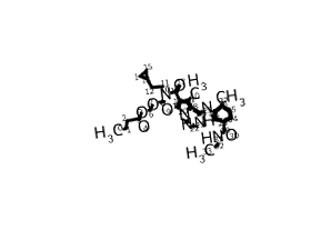 CCCC(=O)OCOC(=O)N(CCC1CC1)C(=O)c1cn2ncnc(Nc3cc(C(=O)NCC)ccc3C)c2c1C